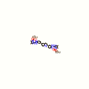 C[C@@H]1C[C@@H](c2nc3ccc(-c4ccc5nc(-c6ccc7nc([C@@H]8C[C@@H](C)[C@@H](C)N8C(=O)OC(C)(C)C)[nH]c7c6)ccc5c4)cc3[nH]2)N(C(=O)OC(C)(C)C)[C@@H]1C